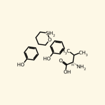 C1CC[SiH2]OC1.CC(C)[C@H](N)C(=O)O.Oc1ccccc1.Oc1ccccc1